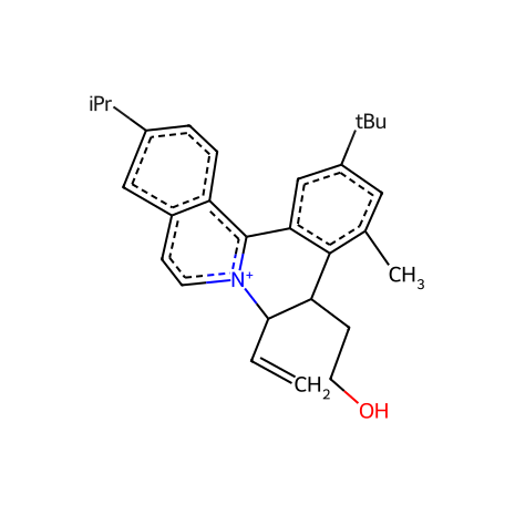 C=CC1C(CCO)c2c(C)cc(C(C)(C)C)cc2-c2c3ccc(C(C)C)cc3cc[n+]21